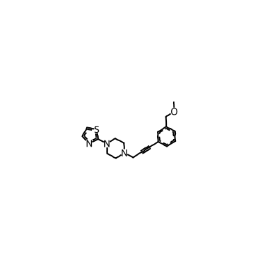 COCc1cccc(C#CCN2CCN(c3nccs3)CC2)c1